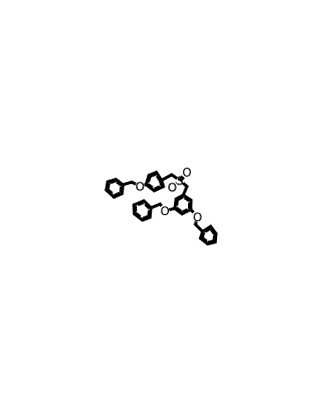 O=S(=O)(Cc1ccc(OCc2ccccc2)cc1)Cc1cc(OCc2ccccc2)cc(OCc2ccccc2)c1